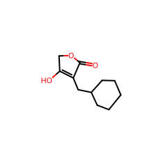 O=C1OCC(O)=C1CC1CCCCC1